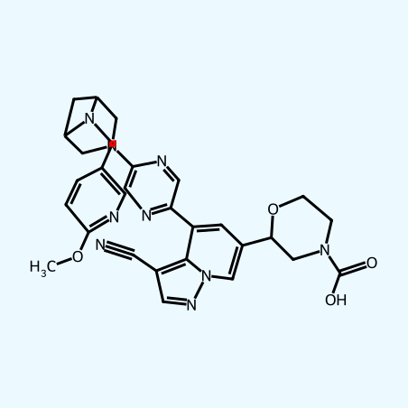 COc1ccc(CN2C3CC2CN(c2cnc(-c4cc(C5CN(C(=O)O)CCO5)cn5ncc(C#N)c45)cn2)C3)cn1